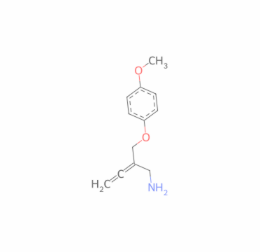 C=C=C(CN)COc1ccc(OC)cc1